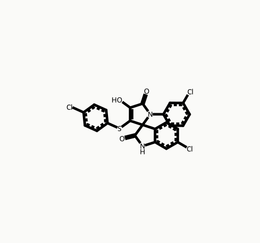 O=C1C(O)=C(Sc2ccc(Cl)cc2)C2(C(=O)Nc3cc(Cl)ccc32)N1c1cccc(Cl)c1